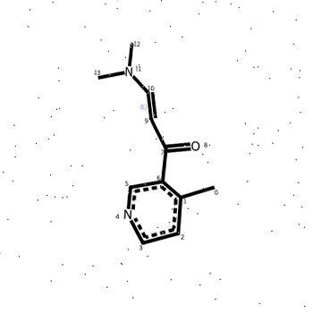 Cc1ccncc1C(=O)/C=C/N(C)C